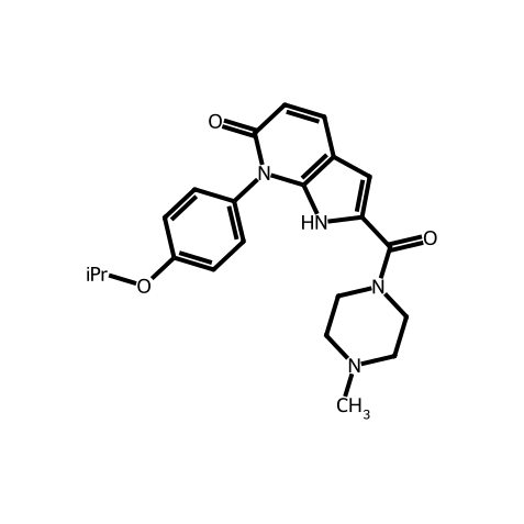 CC(C)Oc1ccc(-n2c(=O)ccc3cc(C(=O)N4CCN(C)CC4)[nH]c32)cc1